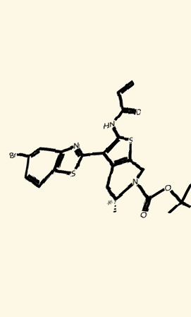 C=CC(=O)Nc1sc2c(c1-c1nc3cc(Br)ccc3s1)C[C@@H](C)N(C(=O)OC(C)(C)C)C2